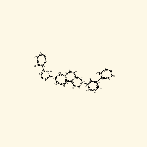 c1ccc(-c2ccnc(-c3ccc4c(ccc5cc(-c6nccc(-c7ccccn7)n6)ccc54)c3)n2)nc1